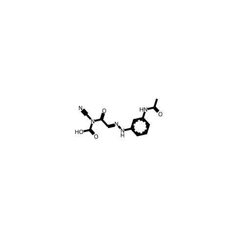 CC(=O)Nc1cccc(NN=CC(=O)N(C#N)C(=O)O)c1